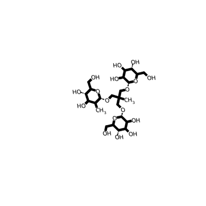 CC1C(O)[C@H](O)C(CO)O[C@@H]1OCC(C)(CO[C@H]1OC(CO)[C@@H](O)C(O)C1O)CO[C@H]1OC(CO)[C@@H](O)C(O)C1O